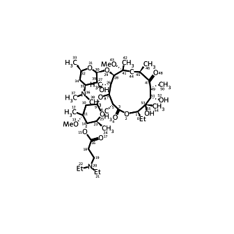 CC[C@H]1OC(=O)[C@H](C)C(O[C@H]2C[C@@](C)(OC)[C@@H](OC(=O)CCN(CC)CC)[C@H](C)O2)[C@H](C)[C@@H](O[C@@H]2O[C@H](C)C[C@H](N(C)C)[C@H]2O)[C@](C)(OC)C[C@@H](C)C(=O)[C@H](C)[C@H](O)[C@]1(C)O